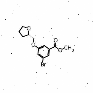 COC(=O)c1cc(Br)cc(OC[C@@H]2CCCO2)c1